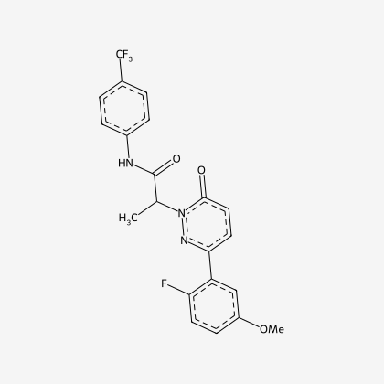 COc1ccc(F)c(-c2ccc(=O)n(C(C)C(=O)Nc3ccc(C(F)(F)F)cc3)n2)c1